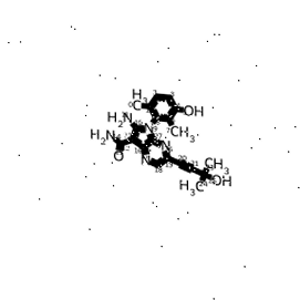 Cc1ccc(O)c(C)c1-n1c(N)c(C(N)=O)c2ncc(C#CC(C)(C)O)nc21